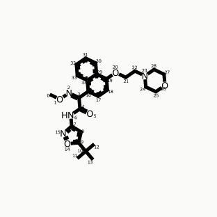 CON=C(C(=O)Nc1cc(C(C)(C)C)on1)c1ccc(OCCN2CCOCC2)c2ccccc12